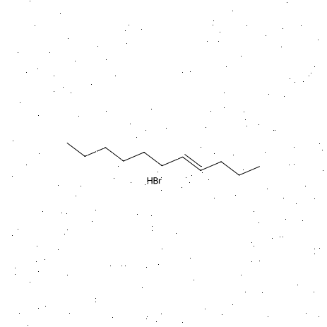 Br.CCCC=CCCCCCC